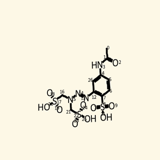 CC(=O)Nc1ccc(S(=O)(=O)O)c(N=NN(CS(=O)(=O)O)CS(=O)(=O)O)c1